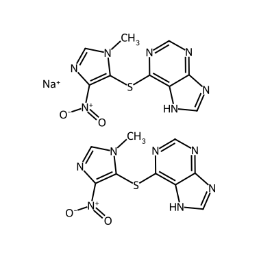 Cn1cnc([N+](=O)[O-])c1Sc1ncnc2nc[nH]c12.Cn1cnc([N+](=O)[O-])c1Sc1ncnc2nc[nH]c12.[Na+]